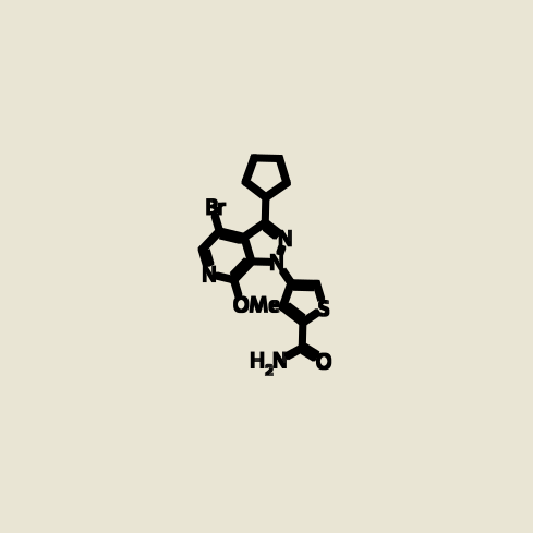 COc1ncc(Br)c2c(C3CCCC3)nn(-c3csc(C(N)=O)c3)c12